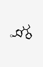 CCC(c1ccccc1)C(C)c1ccc(C=O)cc1